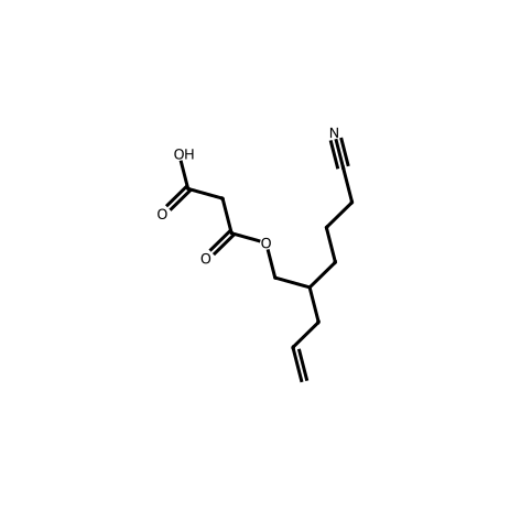 C=CCC(CCCC#N)COC(=O)CC(=O)O